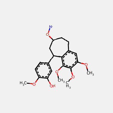 COc1ccc(C2CC(O[N])CCc3cc(OC)c(OC)c(OC)c32)cc1O